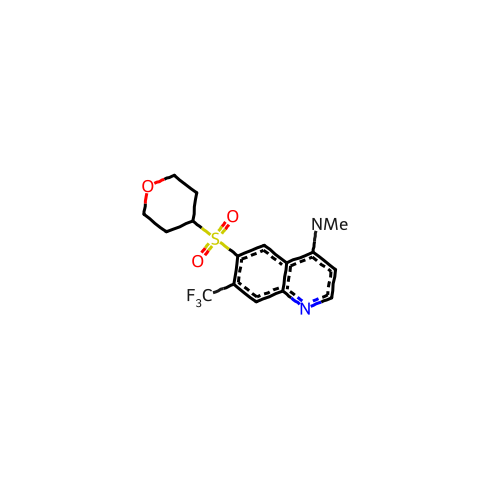 CNc1ccnc2cc(C(F)(F)F)c(S(=O)(=O)C3CCOCC3)cc12